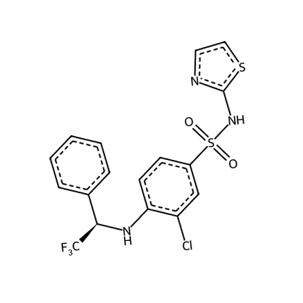 O=S(=O)(Nc1nccs1)c1ccc(N[C@H](c2ccccc2)C(F)(F)F)c(Cl)c1